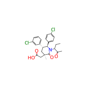 CCC(C(C)=O)N1C(=O)[C@@](C)(CC(=O)O)C[C@H](c2cccc(Cl)c2)[C@H]1c1ccc(Cl)cc1